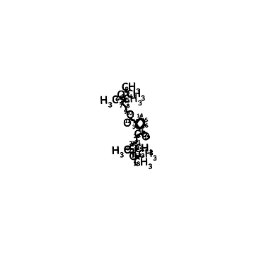 CC(C)O[Si](C)(C)CCCOC(=O)c1ccc[c]([Co](=[O])[CH2]CC[Si](C)(C)OC(C)C)c1